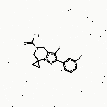 O=C(O)N1Cc2c(I)c(-c3cccc(Cl)c3)nn2C2(CC2)C1